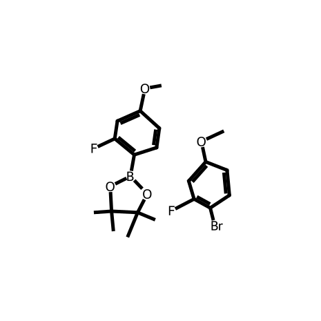 COc1ccc(B2OC(C)(C)C(C)(C)O2)c(F)c1.COc1ccc(Br)c(F)c1